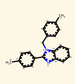 Cc1ccc(Cn2c(-c3ccc(C)cc3)nc3ccccc32)cc1